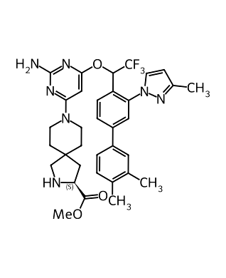 COC(=O)[C@@H]1CC2(CCN(c3cc(OC(c4ccc(-c5ccc(C)c(C)c5)cc4-n4ccc(C)n4)C(F)(F)F)nc(N)n3)CC2)CN1